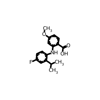 COc1ccc(C(=O)O)c(Nc2ccc(F)cc2C(C)C)c1